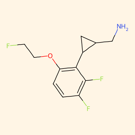 NCC1CC1c1c(OCCF)ccc(F)c1F